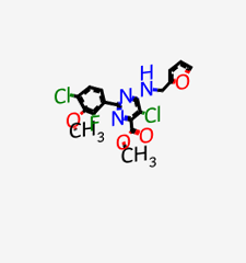 COC(=O)c1nc(-c2ccc(Cl)c(OC)c2F)nc(NCc2ccco2)c1Cl